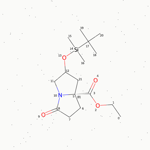 CCOC(=O)[C@]12CCC(=O)N1CC(O[Si](C)(C)C(C)(C)C)C2